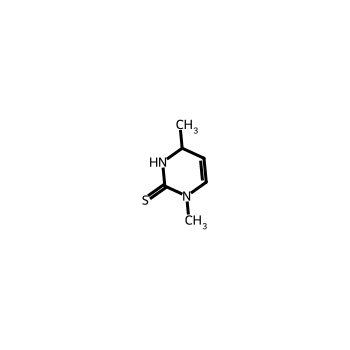 CC1C=CN(C)C(=S)N1